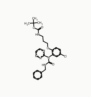 CC(C)(C)OC(=O)NCCCOc1ccc(Cl)cc1N(C(=O)NCc1ccccc1)c1nccnn1